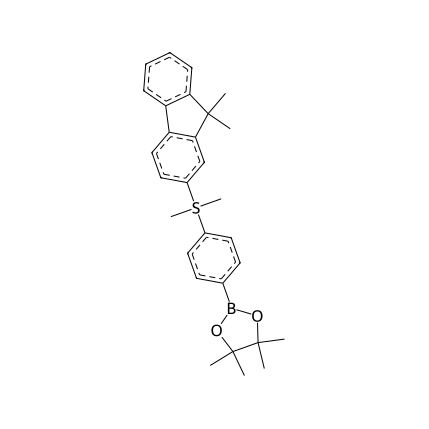 CC1(C)c2ccccc2-c2ccc(S(C)(C)c3ccc(B4OC(C)(C)C(C)(C)O4)cc3)cc21